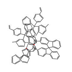 C=Cc1ccc(C2(c3cc(C)ccc3C)c3ccccc3-c3ccc(N(c4ccc(-c5ccccc5)cc4)c4ccc5c(c4)C4(c6ccccc6-5)c5ccccc5-c5ccc(N(c6ccc(-c7ccccc7)cc6)c6ccc7c(c6)C(c6ccc(C=C)cc6)(c6cc(C)ccc6C)c6ccccc6-7)cc54)cc32)cc1